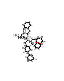 O=C(O)NC(Cc1ccccc1)CC(O)C(Cc1ccc(-c2ccccn2)cc1)N(Cc1ccccc1)Cc1ccccc1